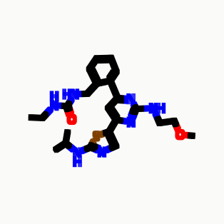 CCNC(=O)NCc1ccccc1-c1cc(-c2cnc(NC(C)C)s2)nc(NCCOC)n1